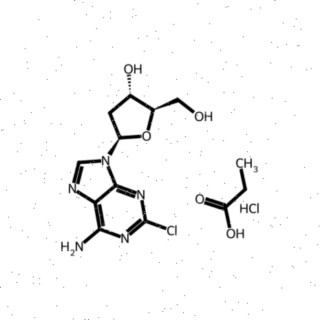 CCC(=O)O.Cl.Nc1nc(Cl)nc2c1ncn2[C@H]1C[C@H](O)[C@@H](CO)O1